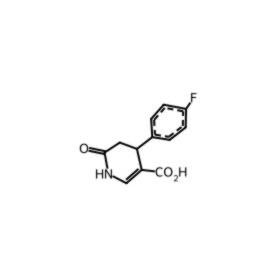 O=C1CC(c2ccc(F)cc2)C(C(=O)O)=CN1